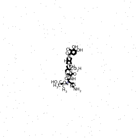 CC(C)(O/N=C(\C(=O)N[C@@H]1C(=O)N2C(C(=O)O)=C(C[N+]3(C)CC4CN(C(=O)c5ccc(O)c(O)c5Cl)C[C@H]4C3)CS[C@H]12)c1csc(N)n1)C(=O)O